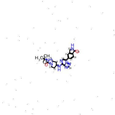 CC(C)(C)NC(=O)N1CCC(Nc2ncc(-c3ccc4c(c3)CNC4=O)n3ncnc23)CC1